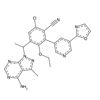 CCOc1c(C(C)n2nc(C)c3c(N)ncnc32)cc(Cl)c(C#N)c1-c1cncc(-c2ncco2)c1